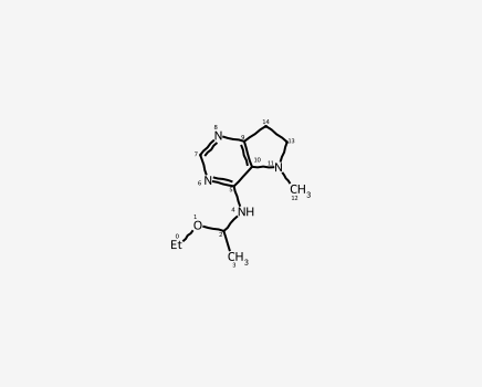 CCOC(C)Nc1ncnc2c1N(C)CC2